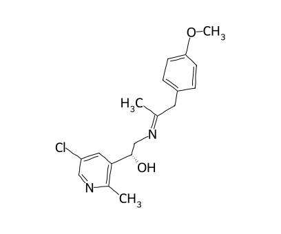 COc1ccc(C/C(C)=N/C[C@H](O)c2cc(Cl)cnc2C)cc1